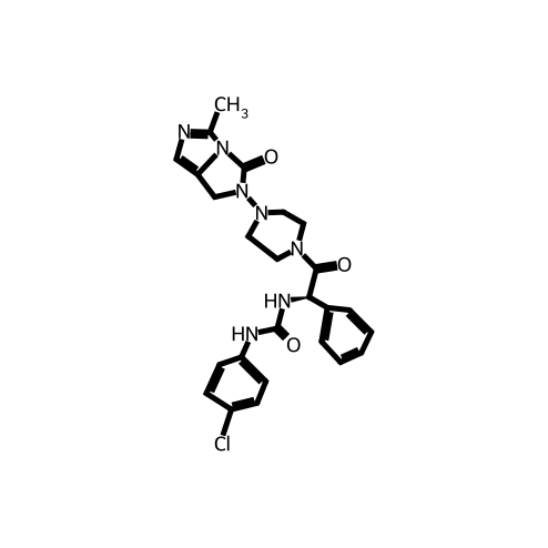 Cc1ncc2n1C(=O)N(N1CCN(C(=O)[C@H](NC(=O)Nc3ccc(Cl)cc3)c3ccccc3)CC1)C2